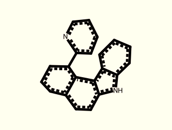 c1ccc(-c2cccc3ccc4[nH]c5ccccc5c4c23)nc1